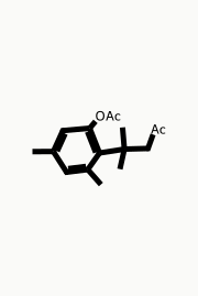 CC(=O)CC(C)(C)c1c(C)cc(C)cc1OC(C)=O